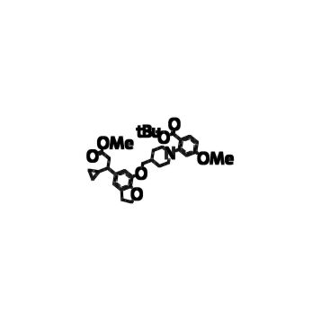 COC(=O)CC(c1cc2c(c(OCC3CCN(c4cc(OC)ccc4C(=O)OC(C)(C)C)CC3)c1)OCC2)C1CC1